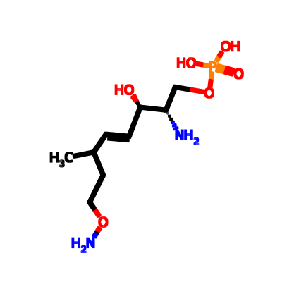 CC(/C=C/[C@@H](O)[C@@H](N)COP(=O)(O)O)CCON